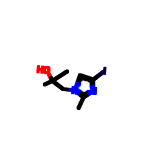 Cc1nc(I)cn1CC(C)(C)O